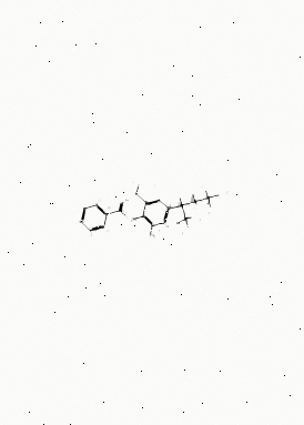 CCc1cc(C(F)(C(F)(F)F)C(F)(F)C(F)(F)F)cc(C)c1NC(=O)c1ccccc1